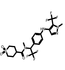 CN(C(=O)C1CCS(=O)(=O)CC1)C(c1ccc(Nc2cnn(C)c2C(F)(F)F)cc1)C(F)(F)F